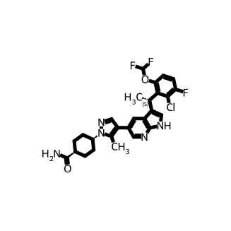 Cc1c(-c2cnc3[nH]cc([C@H](C)c4c(OC(F)F)ccc(F)c4Cl)c3c2)cnn1[C@H]1CC[C@H](C(N)=O)CC1